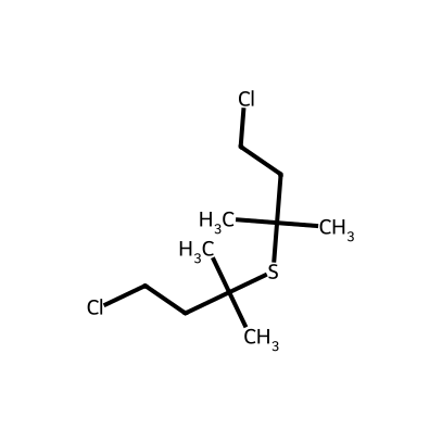 CC(C)(CCCl)SC(C)(C)CCCl